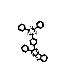 c1ccc(-c2nc(-c3ccccc3)nc(-c3ccc(-c4nc5c(nc4-c4ccccc4)sc4ccccc45)cc3)n2)cc1